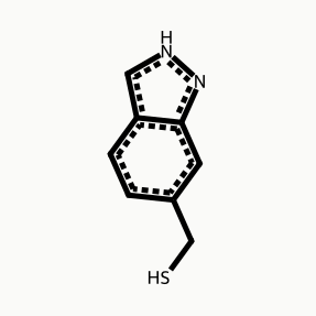 SCc1ccc2c[nH]nc2c1